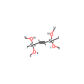 CO[Si](C)(C#C[Si](C)(OC)OC)OC